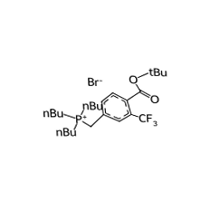 CCCC[P+](CCCC)(CCCC)Cc1ccc(C(=O)OC(C)(C)C)c(C(F)(F)F)c1.[Br-]